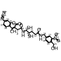 Cc1c(CC(=O)NC(S)C(S)CCC(=O)NCc2ccc(CO)c([N+](=O)[O-])c2)c(=O)oc2cc(N=[N+]=[N-])ccc12